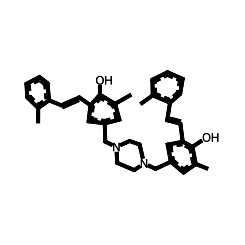 Cc1ccccc1/C=C/c1cc(CN2CCN(Cc3cc(C)c(O)c(/C=C/c4ccccc4C)c3)CC2)cc(C)c1O